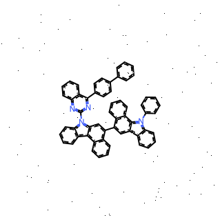 c1ccc(-c2ccc(-c3nc(-n4c5ccccc5c5c6ccccc6c(-c6cc7c8ccccc8n(-c8ccccc8)c7c7ccccc67)cc54)nc4ccccc34)cc2)cc1